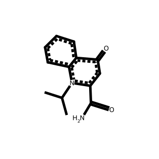 CC(C)n1c(C(N)=O)cc(=O)c2ccccc21